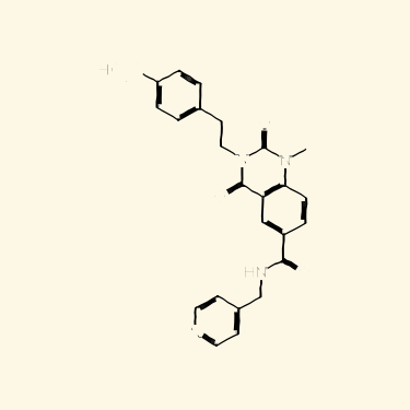 Cn1c(=O)n(CCc2ccc(C(=O)O)cc2)c(=O)c2cc(C(=O)NCc3ccncc3)ccc21